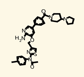 CC(=O)N(c1ccc(C)cc1)c1nc(COc2cc(-c3ccc(C(=O)N4CCC(N5CCCC5)CC4)cc3)cnc2N)cs1